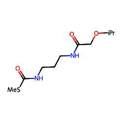 CSC(=O)NCCCNC(=O)COC(C)C